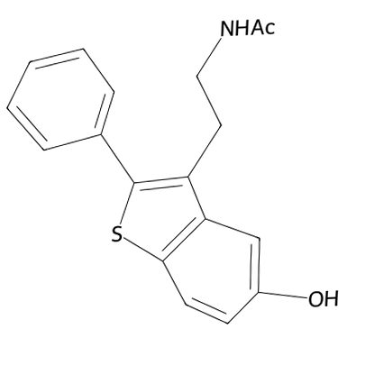 CC(=O)NCCc1c(-c2ccccc2)sc2ccc(O)cc12